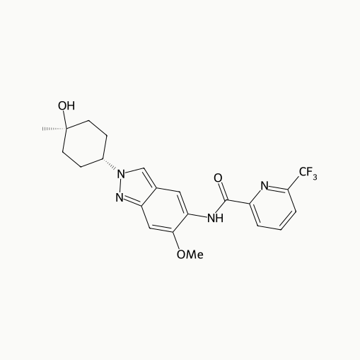 COc1cc2nn([C@H]3CC[C@](C)(O)CC3)cc2cc1NC(=O)c1cccc(C(F)(F)F)n1